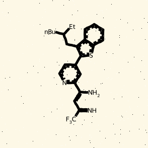 CCCCC(CC)Cc1c(-c2ccnc(/C(N)=C/C(=N)C(F)(F)F)c2)sc2ccccc12